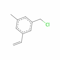 C=Cc1cc(C)cc(CCl)c1